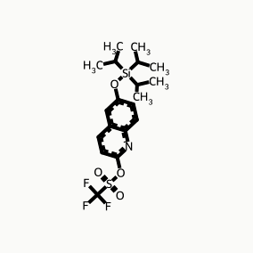 CC(C)[Si](Oc1ccc2nc(OS(=O)(=O)C(F)(F)F)ccc2c1)(C(C)C)C(C)C